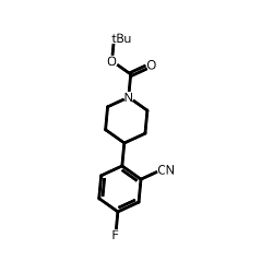 CC(C)(C)OC(=O)N1CCC(c2ccc(F)cc2C#N)CC1